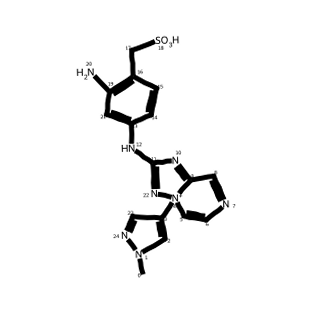 Cn1cc([N+]23C=CN=CC2=NC(Nc2ccc(CS(=O)(=O)O)c(N)c2)=N3)cn1